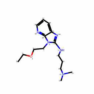 CCOCCn1c(NCCCN(C)C)nc2cccnc21